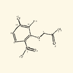 CC(=O)COc1c([N+](=O)[O-])ccc(Cl)c1F